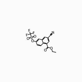 CCOC(=O)c1cc(C#N)cc2cc(OS(=O)(=O)C(F)(F)F)ccc12